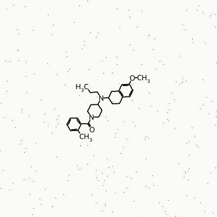 CCCN(C1CCN(C(=O)c2ccccc2C)CC1)C1CCc2ccc(OC)cc2C1